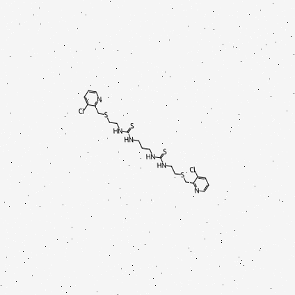 S=C(NCCCNC(=S)NCCSCc1ncccc1Cl)NCCSCc1ncccc1Cl